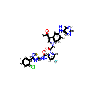 CC(=O)c1cn(CC(=O)N2C[C@H](F)C[C@H]2C(=O)Nc2nc(-c3ccccc3Cl)ns2)c2ccc(Nc3cncnc3)cc12